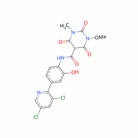 CON1C(=O)C(C(=O)Nc2ccc(-c3ncc(Cl)cc3Cl)cc2O)C(=O)N(C)C1=O